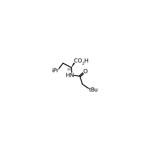 CC(C)C[C@H](NC(=O)CC(C)(C)C)C(=O)O